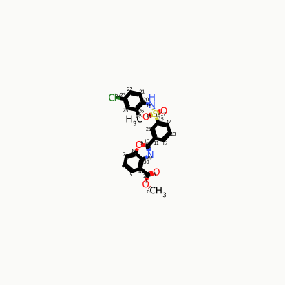 COC(=O)c1cccc2oc(-c3cccc(S(=O)(=O)Nc4ccc(Cl)cc4C)c3)nc12